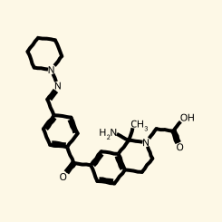 CC1(N)c2cc(C(=O)c3ccc(C=NN4CCCCC4)cc3)ccc2CCN1CC(=O)O